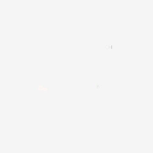 CCCC1CCC(CC2C(=O)CC3Cc4ccc(Br)cc4C32)CC1